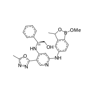 COB1OC(C)c2cc(Nc3cc(N[C@H](CO)c4ccccc4)c(-c4nnc(C)o4)cn3)ccc21